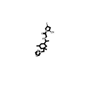 CC1CC(C(C)NCC(=O)N2C[C@@H](F)C[C@H]2C#N)CC(C)(Cn2cncn2)C1